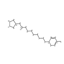 CC1=CCC(CCCCCCCCOCC2CCCC2)C=C1